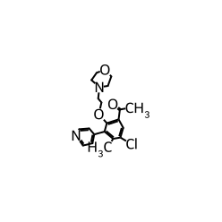 CC(=O)c1cc(Cl)c(C)c(-c2ccncc2)c1OCCN1CCOCC1